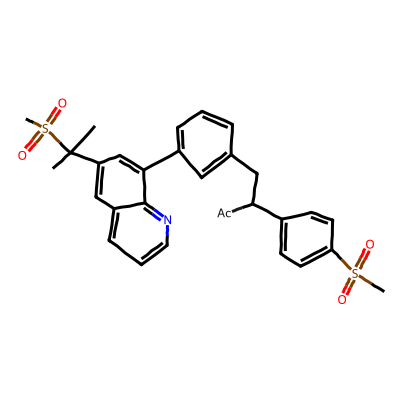 CC(=O)C(Cc1cccc(-c2cc(C(C)(C)S(C)(=O)=O)cc3cccnc23)c1)c1ccc(S(C)(=O)=O)cc1